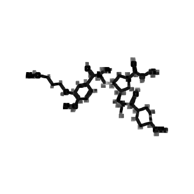 COCCCOc1cc(C(=O)N(C[C@@H]2CN(C(=O)OC(C)(C)C)C[C@H]2CN(C)C(=O)C2CCC(OC)CC2)C(C)C)ccc1OC